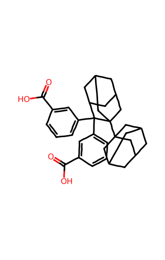 O=C(O)c1cccc(C2(c3cccc(C(=O)O)c3)C3CC4CC(C3)CC2(C23CC5CC(CC(C5)C2)C3)C4)c1